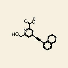 COC(=O)c1cc(C#Cc2cccc3ccccc23)cc(CO)n1